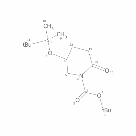 CC(C)(C)OC(=O)N1CC(O[Si](C)(C)C(C)(C)C)CCC1=O